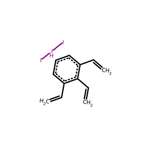 C=Cc1cccc(C=C)c1C=C.I[IH]I